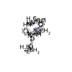 BC(B)(OCCCOc1nn(C2CCCCC2)cc1NC(/N=C\Cc1ccc(Cl)c(O[C@@H](C)CNC=N)c1)=N/C=C)C1CC1